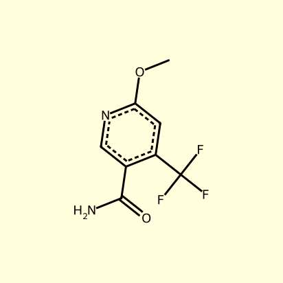 COc1cc(C(F)(F)F)c(C(N)=O)cn1